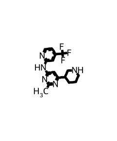 Cc1nc(Nc2cc(C(F)(F)F)ccn2)cc(C2CCCNC2)n1